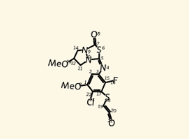 COc1cc(N=c2sc(=O)n3n2CC(OC)C3)c(F)c(SC=C=O)c1Cl